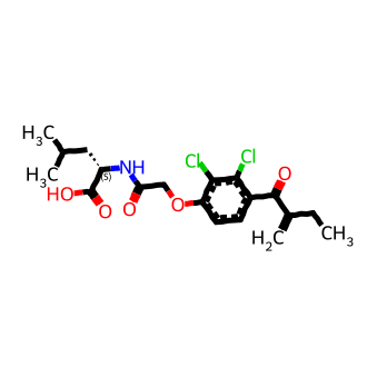 C=C(CC)C(=O)c1ccc(OCC(=O)N[C@@H](CC(C)C)C(=O)O)c(Cl)c1Cl